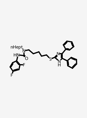 CCCCCCCN(CCCCCSc1nc(-c2ccccc2)c(-c2ccccc2)[nH]1)C(=O)Nc1ccc(F)cc1F